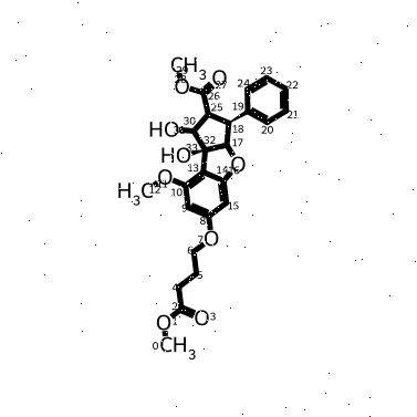 COC(=O)CCCOc1cc(OC)c2c(c1)OC1[C@H](c3ccccc3)C(C(=O)OC)C(O)[C@@]21O